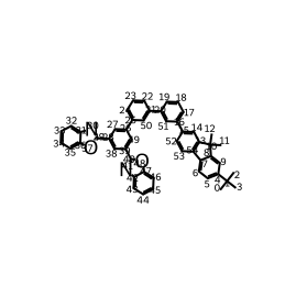 CC(C)(C)c1ccc2c(c1)C(C)(C)c1cc(-c3cccc(-c4cccc(-c5cc(-c6nc7ccccc7o6)cc(-c6nc7ccccc7o6)c5)c4)c3)ccc1-2